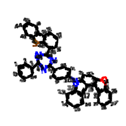 c1ccc(-c2nc(-c3ccc(-n4c5ccccc5c5c6c(ccc54)oc4ccccc46)cc3)nc(-c3cccc4c3sc3ccccc34)n2)cc1